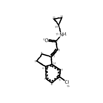 O=C(C=C1CCc2ccc(Cl)cc21)NC1CC1